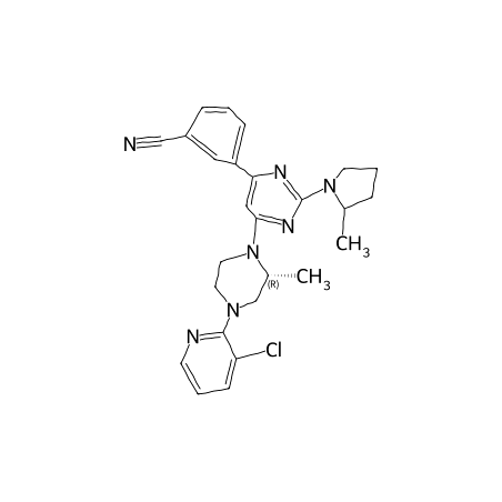 CC1CCCN1c1nc(-c2cccc(C#N)c2)cc(N2CCN(c3ncccc3Cl)C[C@H]2C)n1